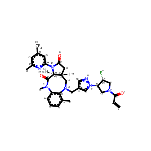 C=CC(=O)N1C[C@@H](F)[C@H](n2cc(CN3C[C@H]4CC(=O)N(c5cc(C(F)(F)F)cc(C)n5)[C@@H]4C(=O)N(C)c4cccc(C)c43)cn2)C1